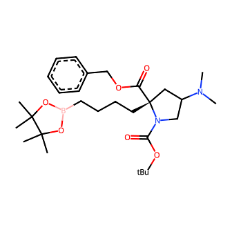 CN(C)C1CN(C(=O)OC(C)(C)C)[C@](CCCCB2OC(C)(C)C(C)(C)O2)(C(=O)OCc2ccccc2)C1